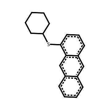 c1ccc2cc3c(SC4CCCCC4)cccc3cc2c1